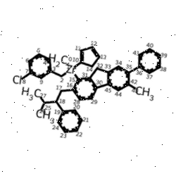 [CH2]=[Zr]([CH2]c1cccc(Cl)c1)([C]1=CC=CC1)[c]1c(CC(c2ccccc2)C(C)C)ccc2c1Cc1cc(-c3ccccc3)c(C)cc1-2